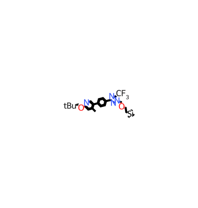 Cc1cc(OCC(C)(C)C)ncc1-c1ccc(-c2nc(C(F)(F)F)n(COCC[Si](C)(C)C)n2)cc1